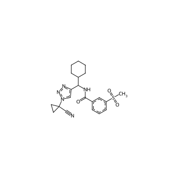 CS(=O)(=O)c1cccc(C(=O)NC(c2cn(C3(C#N)CC3)nn2)C2CCCCC2)c1